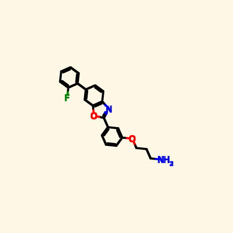 NCCCOc1cccc(-c2nc3ccc(-c4ccccc4F)cc3o2)c1